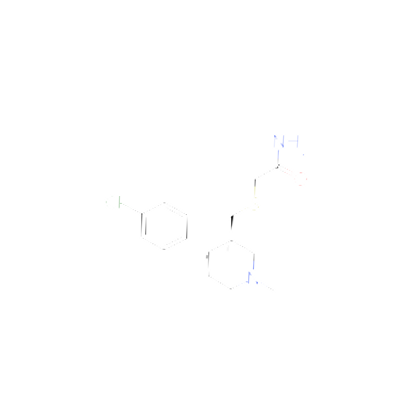 CN1CC[C@H](c2ccc(Cl)cc2)[C@@H](CSCC(N)=O)C1